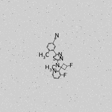 Cc1ccc(C#N)cc1-c1nnc(N(C)C2(c3ncccc3F)CC(F)C2)s1